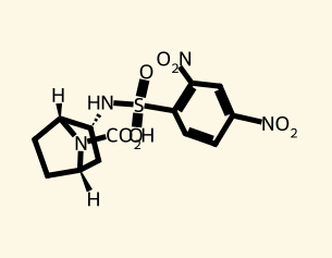 O=C(O)N1[C@H]2CC[C@@H]1[C@H](NS(=O)(=O)c1ccc([N+](=O)[O-])cc1[N+](=O)[O-])C2